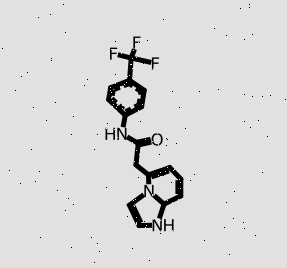 O=C(CC1=CC=CC2NC=CN12)Nc1ccc(C(F)(F)F)cc1